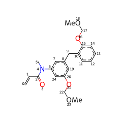 C=CC(=O)N(C)c1cc(Cc2ccccc2OCOC)cc(OCOC)c1